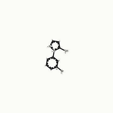 Sc1ccnn1-c1cccc(Br)c1